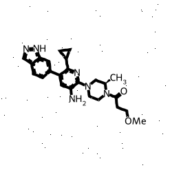 COCCC(=O)N1CCN(c2nc(C3CC3)c(-c3ccc4cn[nH]c4c3)cc2N)C[C@H]1C